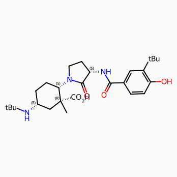 CC(C)(C)N[C@@H]1CC[C@H](N2CC[C@H](NC(=O)c3ccc(O)c(C(C)(C)C)c3)C2=O)[C@](C)(C(=O)O)C1